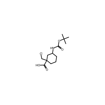 CC(C)(C)OC(=O)NC1CCCC(CCl)(C(=O)O)C1